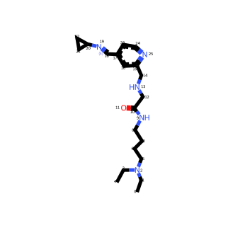 CCN(CC)CCCCNC(=O)CNCc1cc(/C=N/C2CC2)ccn1